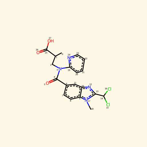 CC(CN(C(=O)c1ccc2c(c1)nc(C(Cl)Cl)n2C)c1ccccn1)C(=O)O